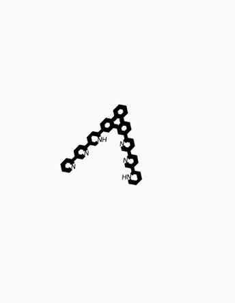 C1=CNC(c2ccc(-c3ccc(-c4ccc5c6ccccc6c6ccc(C7=CC=C(c8ccc(-c9ccccn9)cn8)CN7)cc6c5c4)nc3)nc2)C=C1